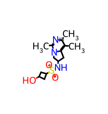 CC1=N[C@@H](C)C(C)=C2CC(NS(=O)(=O)C3CC(O)C3)CN12